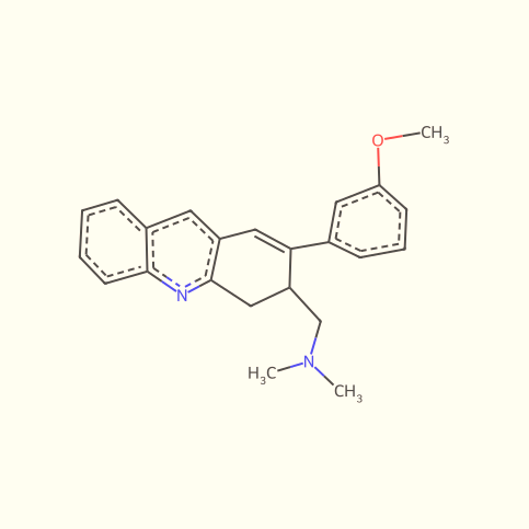 COc1cccc(C2=Cc3cc4ccccc4nc3CC2CN(C)C)c1